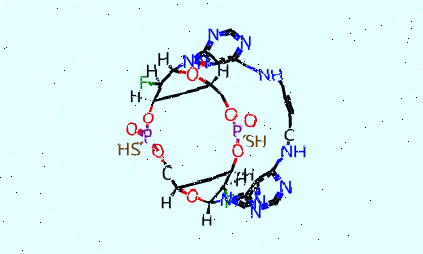 O=[P@]1(S)OC[C@H]2O[C@@H]3[C@H](F)[C@@H]2O[P@](=O)(S)OC[C@H]2O[C@H]([C@H](F)[C@@H]2O1)n1cnc2c(ncnc21)NCC=CCNc1ncnc2c1ncn23